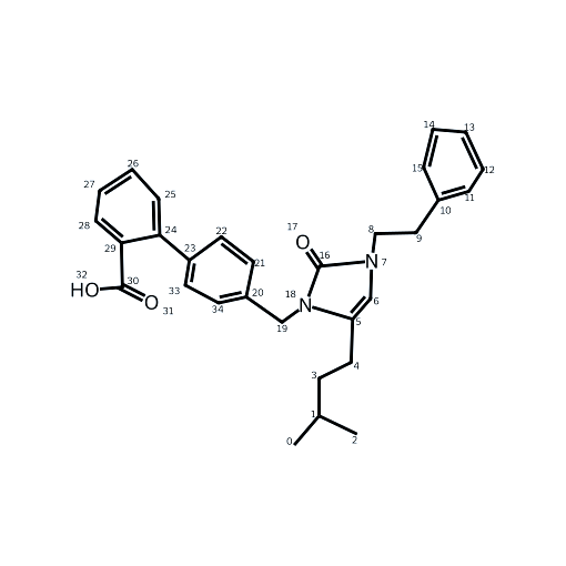 CC(C)CCc1cn(CCc2ccccc2)c(=O)n1Cc1ccc(-c2ccccc2C(=O)O)cc1